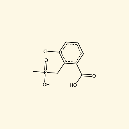 CP(=O)(O)Cc1c(Cl)cccc1C(=O)O